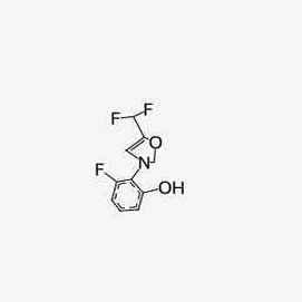 Oc1cccc(F)c1N1C=C(C(F)F)OC1